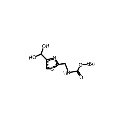 CC(C)(C)OC(=O)NCc1nc(C(O)O)cs1